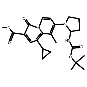 COC(=O)c1cc(C2CC2)c2c(C)c(N3CCCC3NC(=O)OC(C)(C)C)ccn2c1=O